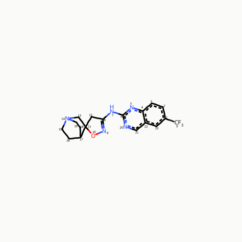 FC(F)(F)c1ccc2nc(NC3=NOC4(C3)CN3CCC4CC3)ncc2c1